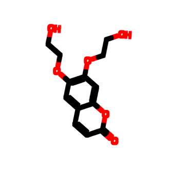 O=c1ccc2cc(OCCO)c(OCCO)cc2o1